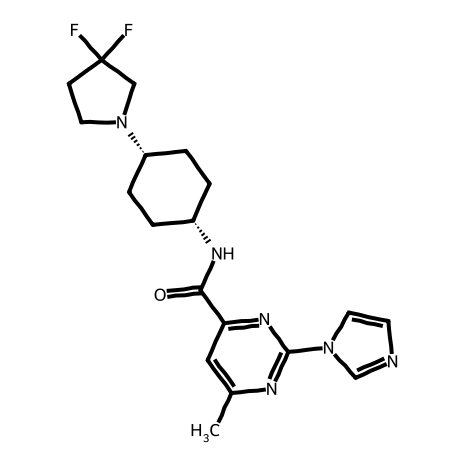 Cc1cc(C(=O)N[C@H]2CC[C@@H](N3CCC(F)(F)C3)CC2)nc(-n2ccnc2)n1